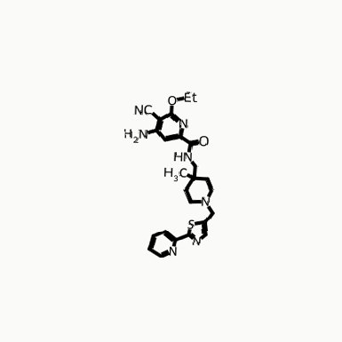 CCOc1nc(C(=O)NCC2(C)CCN(Cc3cnc(-c4ccccn4)s3)CC2)cc(N)c1C#N